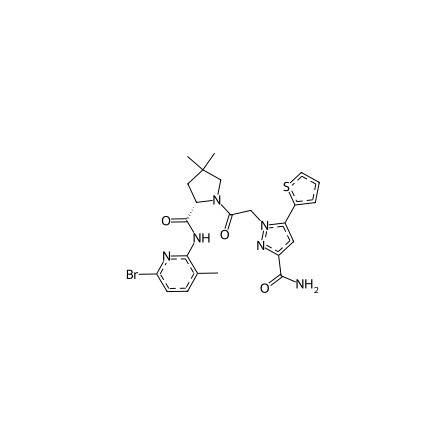 Cc1ccc(Br)nc1NC(=O)[C@@H]1CC(C)(C)CN1C(=O)Cn1nc(C(N)=O)cc1-c1cccs1